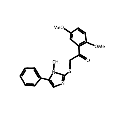 COc1ccc(OC)c(C(=O)CSc2ncc(-c3ccccc3)n2C)c1